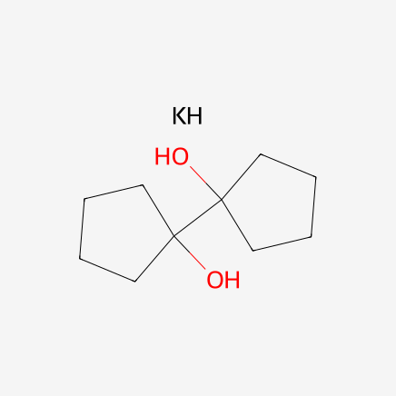 OC1(C2(O)CCCC2)CCCC1.[KH]